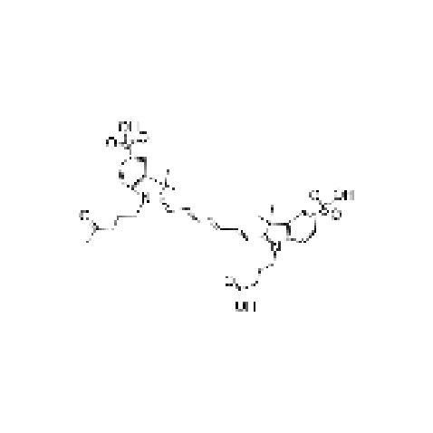 CC(=O)CCCN1/C(=C/C=C/C=C/C=C/C2=[N+](CCCC(=O)O)c3ccc(S(=O)(=O)O)cc3C2(C)C)C(C)(C)c2cc(S(=O)(=O)O)ccc21